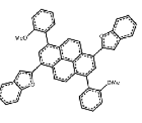 COc1ccccc1-c1cc(-c2cc3ccccc3o2)c2ccc3c(-c4ccccc4OC)cc(-c4cc5ccccc5o4)c4ccc1c2c43